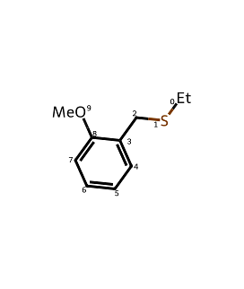 [CH2]CSCc1ccccc1O[CH2]